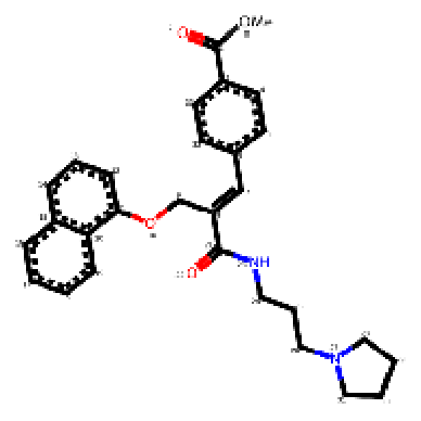 COC(=O)c1ccc(/C=C(\COc2cccc3ccccc23)C(=O)NCCCN2CCCC2)cc1